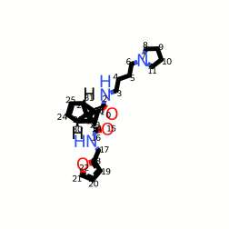 O=C(NCCCCN1CCCC1)[C@H]1[C@H](C(=O)NCc2ccco2)[C@@H]2C=C[C@H]1C21CC1